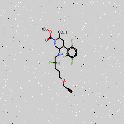 C#CCOCCCC(F)(F)CNC(C)C(CC(NC(=O)OC(C)(C)C)C(=O)O)c1c(F)ccc(F)c1F